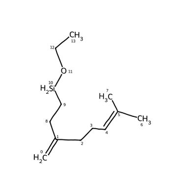 C=C(CCC=C(C)C)CC[SiH2]OCC